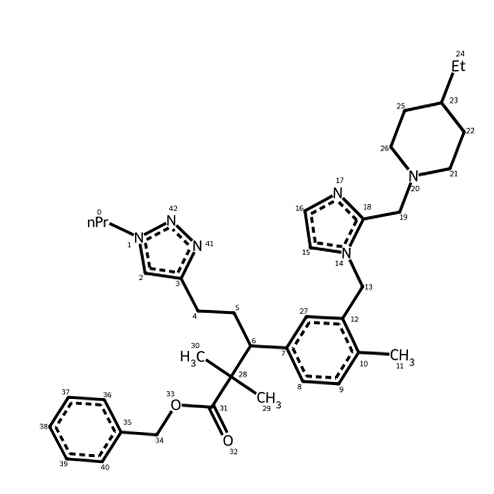 CCCn1cc(CCC(c2ccc(C)c(Cn3ccnc3CN3CCC(CC)CC3)c2)C(C)(C)C(=O)OCc2ccccc2)nn1